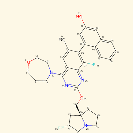 N#Cc1cc2c(N3CCCOCC3)nc(OC[C@@]34CCCN3C[C@H](F)C4)nc2c(F)c1-c1cc(O)cc2ccccc12